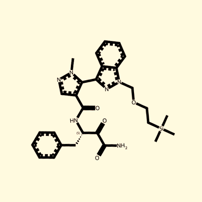 Cn1ncc(C(=O)N[C@@H](Cc2ccccc2)C(=O)C(N)=O)c1-c1nn(COCC[Si](C)(C)C)c2ccccc12